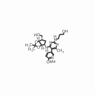 COc1ccc(-c2c(C)nc(NCCCO)nc2N[C@@H]2C[C@H](CO)[C@H]3OC(C)(C)O[C@H]32)cn1